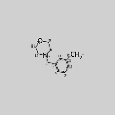 [CH2]c1cccc(CN2CCOCC2)c1